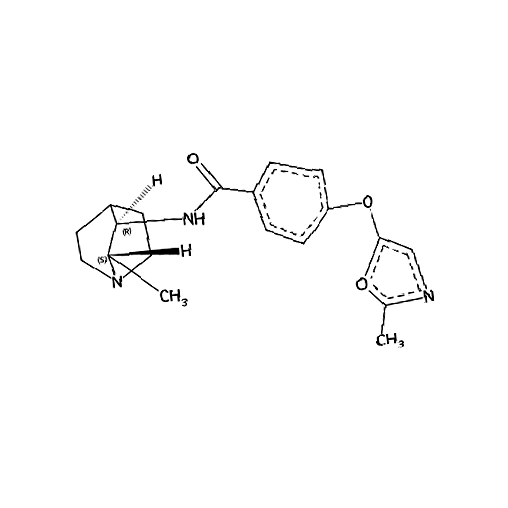 Cc1ncc(Oc2ccc(C(=O)N[C@@H]3C4CCN(CC4)[C@H]3C)cc2)o1